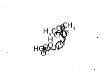 COc1ccc(CN2CCN(CC(O)CS(=O)(=O)O)CC2)cc1C(C)(C)C